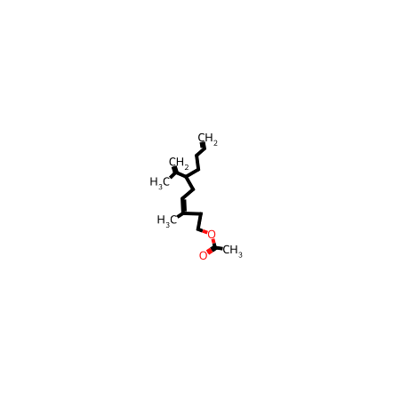 C=CCCC(CC=C(C)CCOC(C)=O)C(=C)C